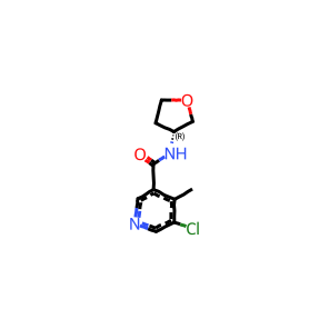 Cc1c(Cl)cncc1C(=O)N[C@@H]1CCOC1